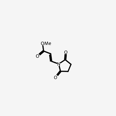 COC(=O)/C=C/N1C(=O)CCC1=O